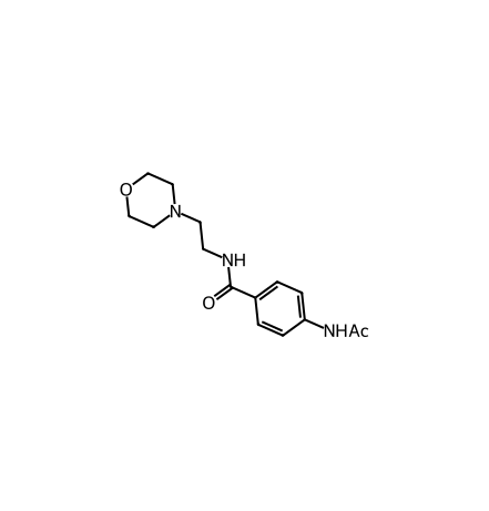 CC(=O)Nc1ccc(C(=O)NCCN2CCOCC2)cc1